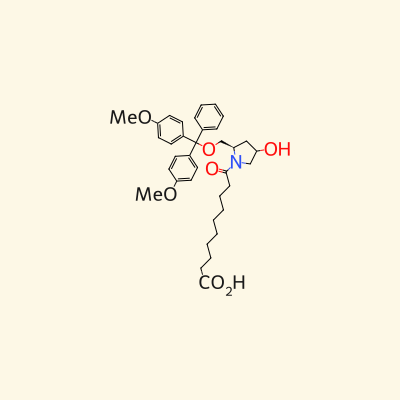 COc1ccc(C(OC[C@H]2CC(O)CN2C(=O)CCCCCCCCC(=O)O)(c2ccccc2)c2ccc(OC)cc2)cc1